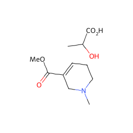 CC(O)C(=O)O.COC(=O)C1=CCCN(C)C1